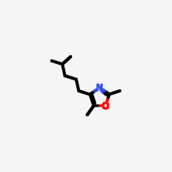 Cc1nc(CCCC(C)C)c(C)o1